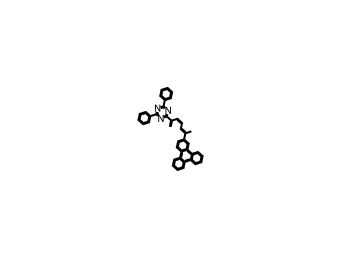 C=C(/C=C\C=C(/C)c1ccc2c3ccccc3c3ccccc3c2c1)c1nc(-c2ccccc2)nc(-c2ccccc2)n1